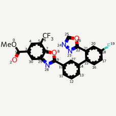 COC(=O)c1cc(C(F)(F)F)c2oc(-c3cccc(-c4ccc(F)cc4-c4nnco4)c3)nc2c1